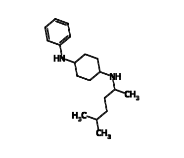 CC(C)CCC(C)NC1CCC(Nc2ccccc2)CC1